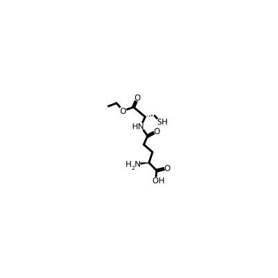 CCOC(=O)[C@H](CS)NC(=O)CC[C@H](N)C(=O)O